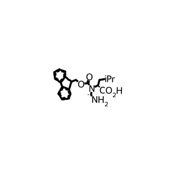 CC(C)C[C@@H](C(=O)O)N([CH]N)C(=O)OCC1c2ccccc2-c2ccccc21